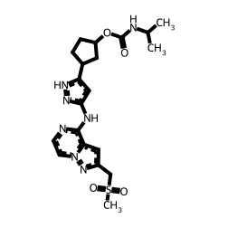 CC(C)NC(=O)OC1CCC(c2cc(Nc3nccn4nc(CS(C)(=O)=O)cc34)n[nH]2)C1